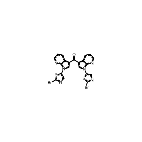 O=C(c1cn(-c2cnc(Br)s2)c2ncccc12)c1cn(-c2cnc(Br)s2)c2ncccc12